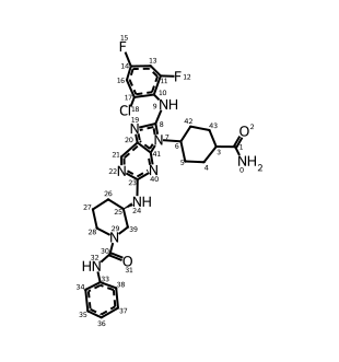 NC(=O)C1CCC(n2c(Nc3c(F)cc(F)cc3Cl)nc3cnc(N[C@@H]4CCCN(C(=O)Nc5ccccc5)C4)nc32)CC1